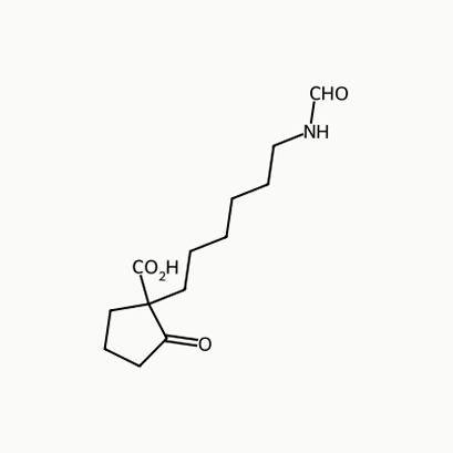 O=CNCCCCCCC1(C(=O)O)CCCC1=O